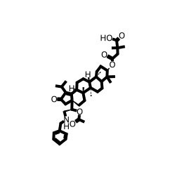 CC(=O)O[C@@H](CNCc1ccccc1)[C@@]12CC[C@]3(C)[C@H](CC[C@@H]4[C@@]5(C)CC[C@H](OC(=O)CC(C)(C)C(=O)O)C(C)(C)C5CC[C@]43C)C1=C(C(C)C)C(=O)C2